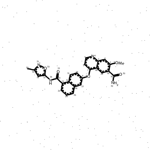 COc1cc2nccc(Oc3ccc4c(C(=O)Nc5cc(C)no5)cccc4c3)c2cc1C(N)=O